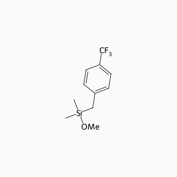 CO[Si](C)(C)Cc1ccc(C(F)(F)F)cc1